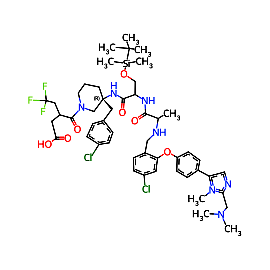 CC(NCc1ccc(Cl)cc1Oc1ccc(-c2cnc(CN(C)C)n2C)cc1)C(=O)NC(CO[Si](C)(C)C(C)(C)C)C(=O)N[C@@]1(Cc2ccc(Cl)cc2)CCCN(C(=O)C(CC(=O)O)CC(F)(F)F)C1